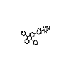 c1ccc(-c2c3ccccc3c(-c3ccccc3)c3cc(-c4ccc(-c5ncncn5)nc4)ccc23)cc1